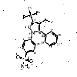 CCc1c(C(F)(F)F)nn(-c2ccc(S(N)(=O)=O)cc2)c1-c1ccccc1